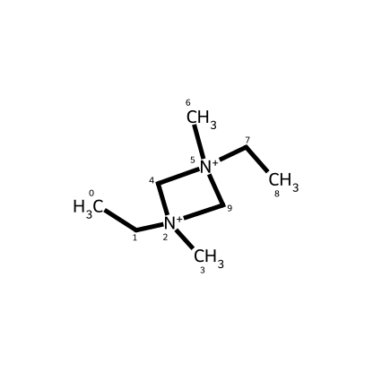 CC[N+]1(C)C[N+](C)(CC)C1